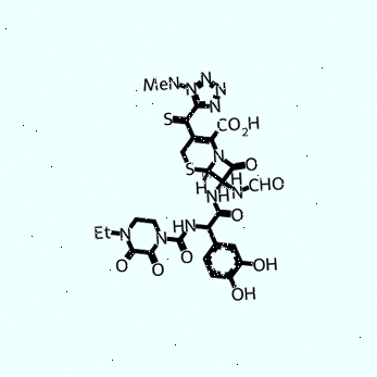 CCN1CCN(C(=O)NC(C(=O)N[C@]2(NC=O)C(=O)N3C(C(=O)O)=C(C(=S)c4nnnn4NC)CS[C@H]32)c2ccc(O)c(O)c2)C(=O)C1=O